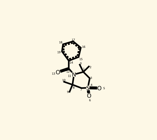 CC1(C)CS(=O)(=O)CC(C)(C)N1C(=O)c1ccccc1